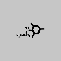 Cc1cc(C)c([SiH](C)[SiH2][SiH3])c(C)c1